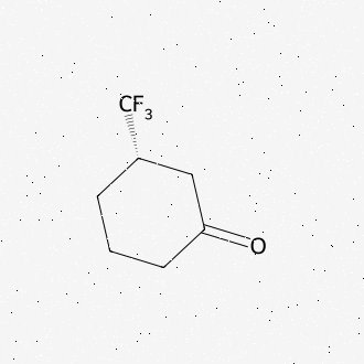 O=C1CCC[C@H](C(F)(F)F)C1